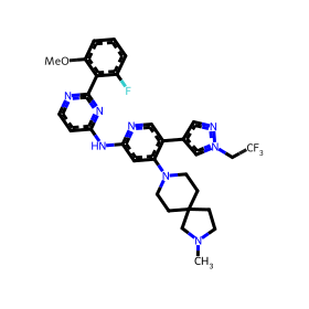 COc1cccc(F)c1-c1nccc(Nc2cc(N3CCC4(CCN(C)C4)CC3)c(-c3cnn(CC(F)(F)F)c3)cn2)n1